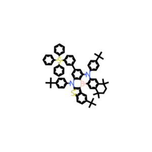 CC(C)(C)c1ccc(N2c3cc4c(cc3B3c5c2cc(-c2cccc(S(c6ccccc6)(c6ccccc6)c6ccccc6)c2)cc5N(c2ccc(C(C)(C)C)cc2)c2sc5ccc(C(C)(C)C)cc5c23)C(C)(C)CCC4(C)C)cc1